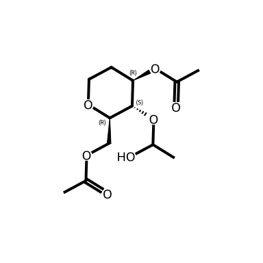 CC(=O)OC[C@H]1OCC[C@@H](OC(C)=O)[C@@H]1OC(C)O